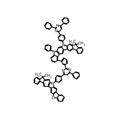 CC1(C)c2ccccc2-c2cc3c4cc5oc6ccccc6c5cc4n(-c4ccc(-c5cc(-c6ccccc6)nc(-c6cccc(-c7cccc8c7c7cc9c%10cc%11c(cc%10n(-c%10ccc(-c%12cc(-c%13ccccc%13)nc(-c%13ccccc%13)n%12)cc%10)c9cc7n8-c7ccccc7)C(C)(C)c7ccccc7-%11)c6)n5)cc4)c3cc21